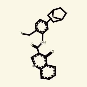 O=C(Nc1cc(N2C3CCC2CC3)ccc1CF)c1c[nH]c2ccccc2c1=O